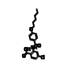 CCCCCCOc1ccc(C(=O)Nc2cc(Cl)ccc2C(=O)O)cc1